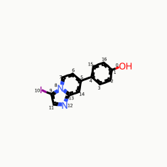 Oc1ccc(-c2ccn3c(I)cnc3c2)cc1